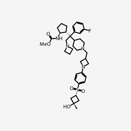 COC(=O)N[C@H]1CCC[C@@H]1C(CN1CCC1)(c1cccc(F)c1)C1CCN(CC2CN(c3ccc(S(=O)(=O)[C@H]4C[C@@](C)(O)C4)cc3)C2)CC1